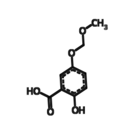 COCOc1ccc(O)c(C(=O)O)c1